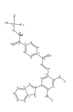 COc1cc(OC)c(-c2cc3ccccc3s2)cc1C=CC(=O)c1ccc(C(=O)NCC(F)(F)F)cc1